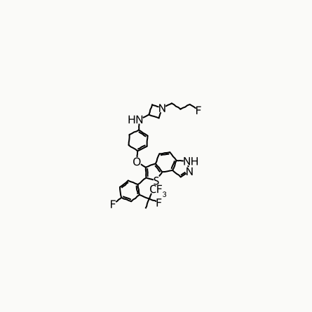 CC(F)(c1cc(F)ccc1-c1sc2c(ccc3[nH]ncc32)c1OC1=CC=C(NC2CN(CCCF)C2)CC1)C(F)(F)F